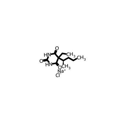 CCC[C@@H](C)C1(CC)C(=O)NC(=O)NC1=O.[Cl-].[Na+]